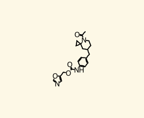 CC(=O)N1CCC(Cc2ccc(NC(=O)OCc3cnco3)cc2)CC12CC2